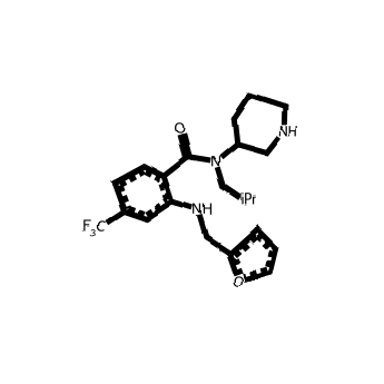 CC(C)CN(C(=O)c1ccc(C(F)(F)F)cc1NCc1ccco1)C1CCCNC1